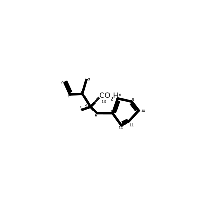 C=CC(C)C(C)(Cc1ccccc1)C(=O)O